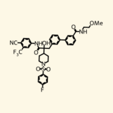 COCCNC(=O)c1cccc(-c2cccc(CC(O)(C(=O)Nc3ccc(C#N)c(C(F)(F)F)c3)C3CCN(S(=O)(=O)c4ccc(F)cc4)CC3)c2)c1